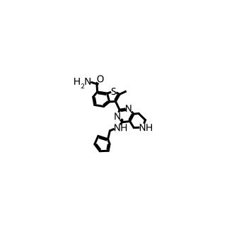 Cc1sc2c(C(N)=O)cccc2c1-c1nc2c(c(NCc3ccccc3)n1)CNCC2